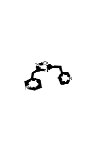 c1cncc(Cc2noc(Cc3cccnc3)n2)c1